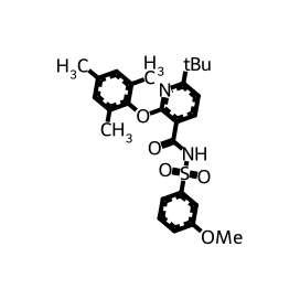 COc1cccc(S(=O)(=O)NC(=O)c2ccc(C(C)(C)C)nc2Oc2c(C)cc(C)cc2C)c1